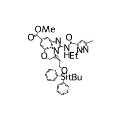 CCn1nc(C)cc1C(=O)Nc1nc2cc(C(=O)OC)cc3c2n1[C@@H](CCO[Si](c1ccccc1)(c1ccccc1)C(C)(C)C)CO3